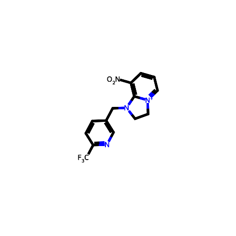 O=[N+]([O-])c1ccc[n+]2c1N(Cc1ccc(C(F)(F)F)nc1)CC2